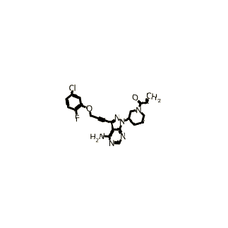 C=CC(=O)N1CCCC(n2nc(C#CCOc3cc(Cl)ccc3F)c3c(N)ncnc32)C1